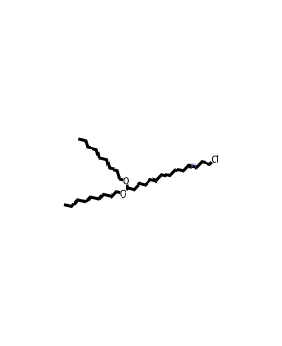 CCCCCCCCCOC(CCCCCCCCC/C=C/CCCl)OCCCCCCCCC